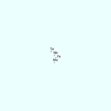 [Fe].[Mo].[Nb].[Ta]